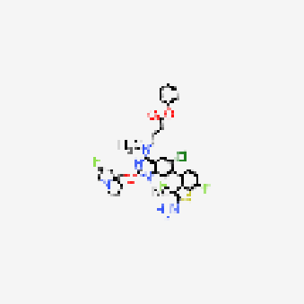 CN(CCCC(=O)Oc1ccccc1)c1nc(OC[C@@]23CCCN2C[C@H](F)C3)nc2c(F)c(-c3ccc(F)c4sc(N)c(C#N)c34)c(Cl)cc12